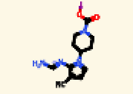 N#Cc1ccn(C2CCN(C(=O)OI)CC2)c1/N=C/N